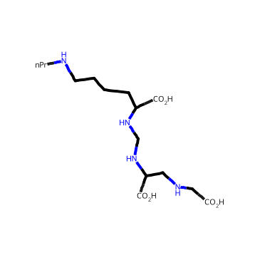 CCCNCCCCC(NCNC(CNCC(=O)O)C(=O)O)C(=O)O